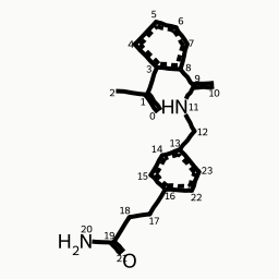 C=C(C)c1ccccc1C(=C)NCc1ccc(CCC(N)=O)cc1